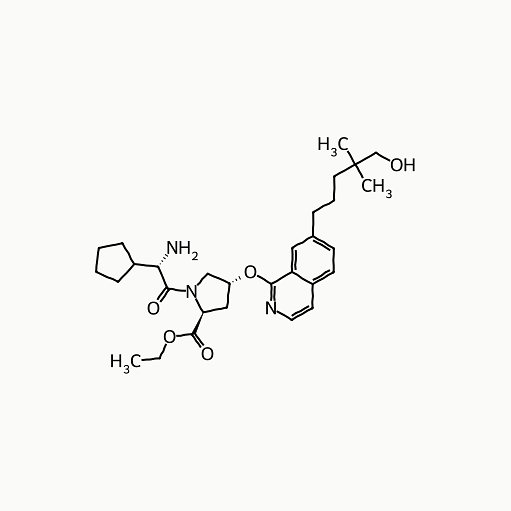 CCOC(=O)[C@@H]1C[C@@H](Oc2nccc3ccc(CCCC(C)(C)CO)cc23)CN1C(=O)[C@@H](N)C1CCCC1